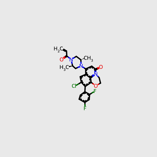 C=CC(=O)N1C[C@H](C)N(c2cc(=O)n3c4c(c(-c5ccc(F)cc5F)c(Cl)cc24)OCC3)C[C@H]1C